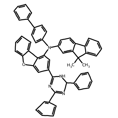 CC1(C)c2ccccc2-c2ccc(N(c3ccc(-c4ccccc4)cc3)c3cc(C4=NC(c5ccccc5)=NC(c5ccccc5)N4)cc4oc5ccccc5c34)cc21